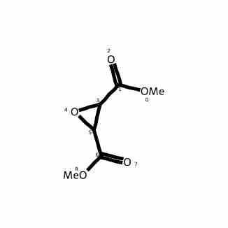 COC(=O)C1OC1C(=O)OC